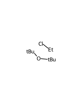 CC(C)(C)OC(C)(C)C.CCCl